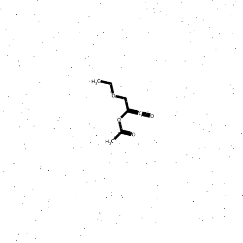 CCOCC(=C=O)OC(C)=O